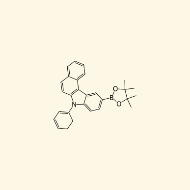 CC1(C)OB(c2ccc3c(c2)c2c4ccccc4ccc2n3C2=CC=CCC2)OC1(C)C